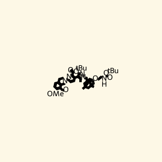 COC(=O)c1cccc2c1CN(c1ccc(-c3cnn(CC45CC6(C)CC(C)(C4)CC(OCCNC(=O)OC(C)(C)C)(C6)C5)c3C)c(C(=O)OC(C)(C)C)n1)CC2